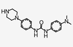 CN(C)c1ccc(NC(=O)Nc2ccc(N3CCNCC3)cc2)cc1